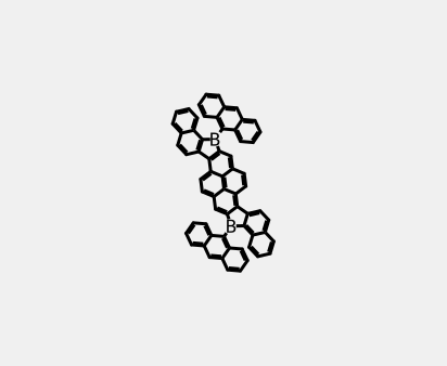 c1ccc2c3c(ccc2c1)-c1c(cc2ccc4c5c(cc6ccc1c2c64)B(c1c2ccccc2cc2ccccc12)c1c-5ccc2ccccc12)B3c1c2ccccc2cc2ccccc12